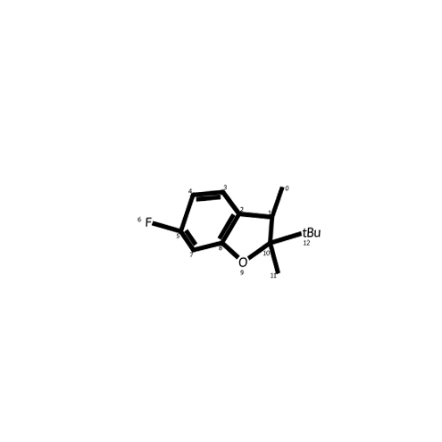 CC1c2ccc(F)cc2OC1(C)C(C)(C)C